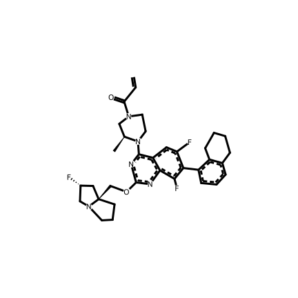 C=CC(=O)N1CCN(c2nc(OC[C@@]34CCCN3C[C@H](F)C4)nc3c(F)c(-c4cccc5c4CCCC5)c(F)cc23)[C@@H](C)C1